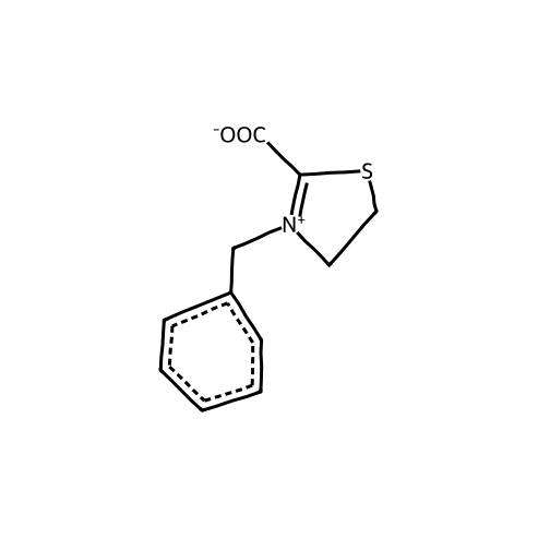 O=C([O-])C1=[N+](Cc2ccccc2)CCS1